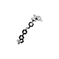 CC(C)(C)OC(=O)N1CCC(COc2ccc(-c3ccc4c(c3)C=CS4(=O)=O)cc2)CC1